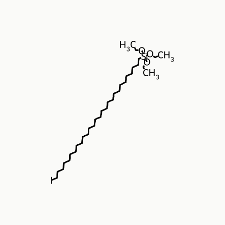 CCO[Si](CCCCCCCCCCCCCCCCCCCCCCCCCCCCI)(OCC)OCC